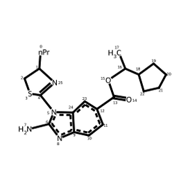 CCCC1CSC(n2c(N)nc3ccc(C(=O)OC(C)C4CCCC4)cc32)=N1